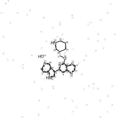 Cl.c1cc2[nH]cc(-c3cc4nccnc4c(OC[C@H]4CCCNC4)n3)c2cn1